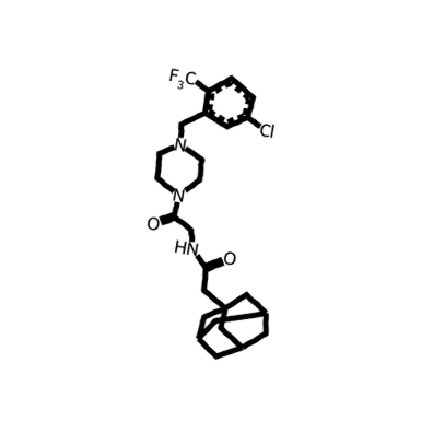 O=C(CC12CC3CC(CC(C3)C1)C2)NCC(=O)N1CCN(Cc2cc(Cl)ccc2C(F)(F)F)CC1